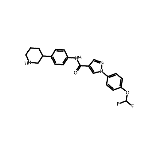 O=C(Nc1ccc(C2CCCNC2)cc1)c1cnn(-c2ccc(OC(F)F)cc2)c1